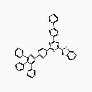 c1ccc(-c2ccc(-c3nc(-c4ccc(-c5cc(-c6ccccc6)c(-c6ccccc6)c(-c6ccccc6)c5)cc4)nc(-c4cc5ccccc5s4)n3)cc2)cc1